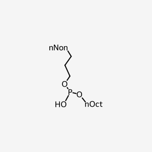 CCCCCCCCCCCCOP(O)OCCCCCCCC